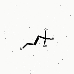 OC(O)(O)C=CCBr